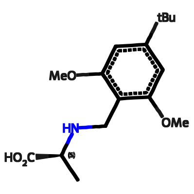 COc1cc(C(C)(C)C)cc(OC)c1CN[C@@H](C)C(=O)O